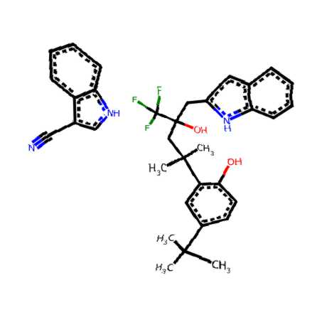 CC(C)(C)c1ccc(O)c(C(C)(C)CC(O)(Cc2cc3ccccc3[nH]2)C(F)(F)F)c1.N#Cc1c[nH]c2ccccc12